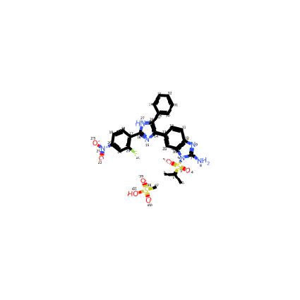 CC(C)S(=O)(=O)n1c(N)nc2ccc(-c3nc(-c4ccc([N+](=O)[O-])cc4F)[nH]c3-c3ccccc3)cc21.CS(=O)(=O)O